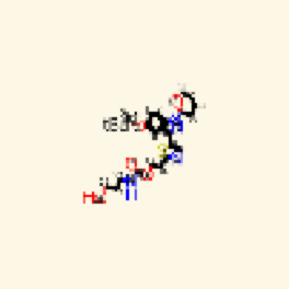 CC(C)(C)[Si](C)(C)Oc1ccc2c(c1)c(-c1cnc(CCOC(=O)NCCCO)s1)nn2C1CCCCO1